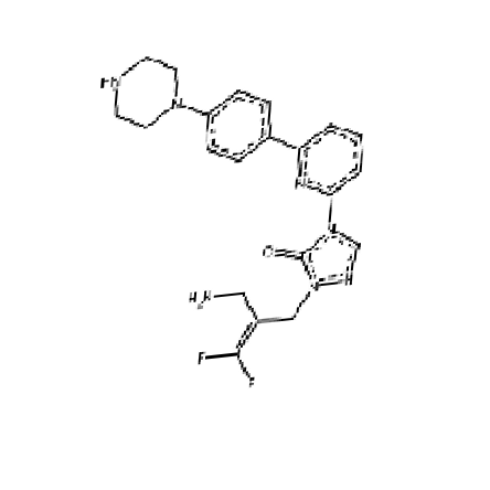 NCC(Cn1ncn(-c2cccc(-c3ccc(N4CCNCC4)cc3)n2)c1=O)=C(F)F